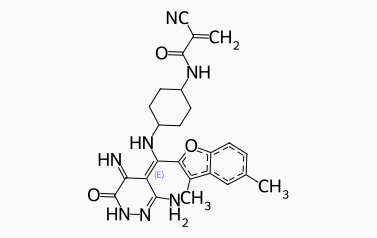 C=C(C#N)C(=O)NC1CCC(N/C(=C2\C(=N)C(=O)NN=C2N)c2oc3ccc(C)cc3c2C)CC1